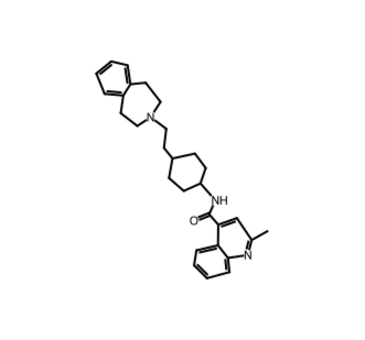 Cc1cc(C(=O)NC2CCC(CCN3CCc4ccccc4CC3)CC2)c2ccccc2n1